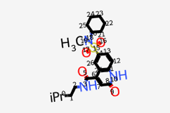 CC(C)CCNC(=O)c1cc(=O)[nH]c2ccc(S(=O)(=O)N(C)C3CCCCC3)cc12